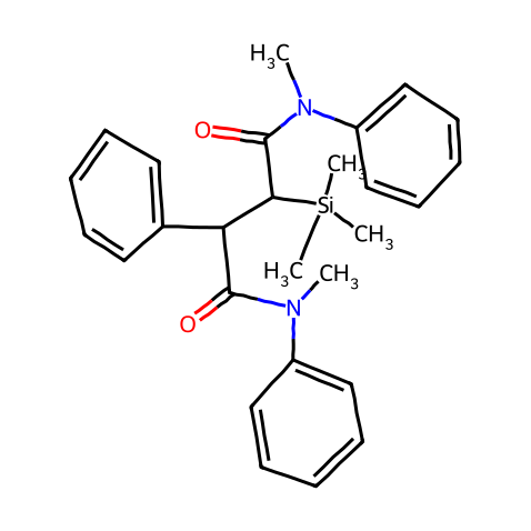 CN(C(=O)C(c1ccccc1)C(C(=O)N(C)c1ccccc1)[Si](C)(C)C)c1ccccc1